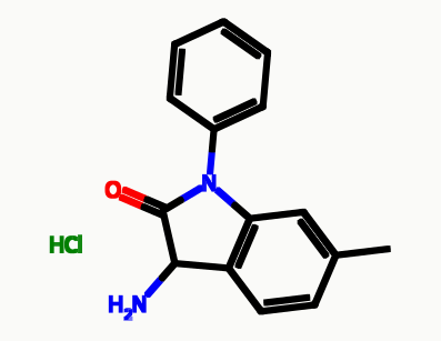 Cc1ccc2c(c1)N(c1ccccc1)C(=O)C2N.Cl